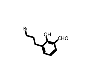 O=Cc1cccc(CCCBr)c1O